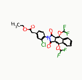 CCOC(=O)Cc1ccc(N2C(=O)c3c(c(OC(F)F)c4ccccc4c3OC(F)F)C2=O)c(Cl)c1